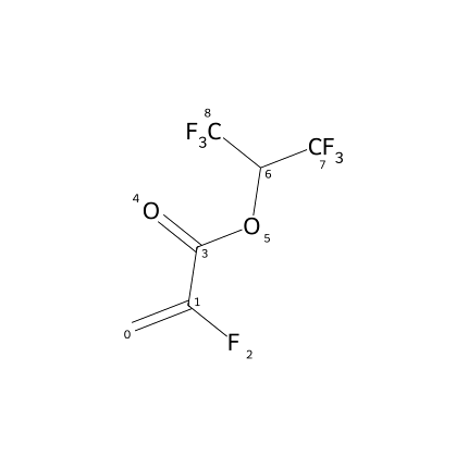 C=C(F)C(=O)OC(C(F)(F)F)C(F)(F)F